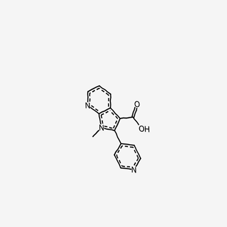 Cn1c(-c2ccncc2)c(C(=O)O)c2cccnc21